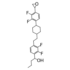 CCCC(O)c1ccc(CCC2CCC(c3ccc(C4CO4)c(F)c3F)CC2)c(F)c1F